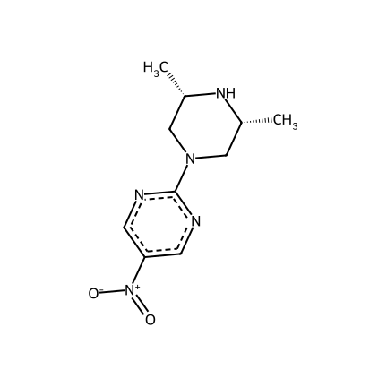 C[C@@H]1CN(c2ncc([N+](=O)[O-])cn2)C[C@H](C)N1